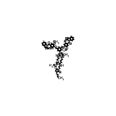 CCCSC1CC(=O)N(CCNC(=O)CCCSSC(C)(C)CN(CCOCCOCCOC)c2cc(COc3cc4c(cc3OC)C(=O)N3c5ccccc5C[C@H]3C=N4)cc(COc3cc4c(cc3OC)C(=O)N3c5ccccc5C[C@H]3CN4)c2)C1=O